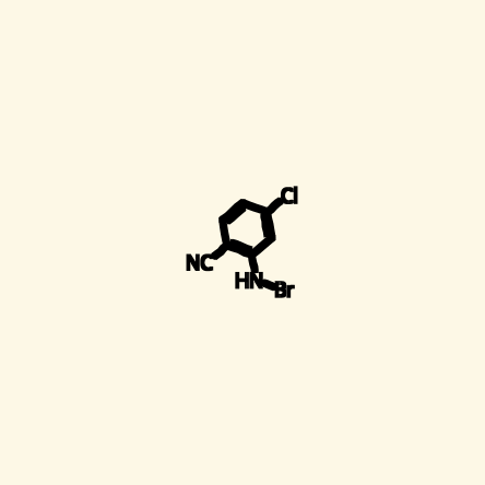 N#Cc1ccc(Cl)cc1NBr